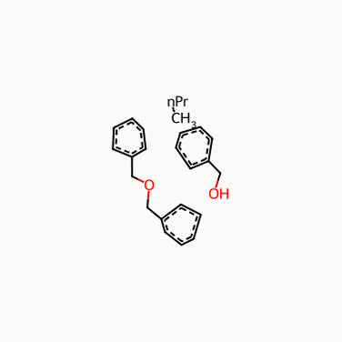 CCCC.OCc1ccccc1.c1ccc(COCc2ccccc2)cc1